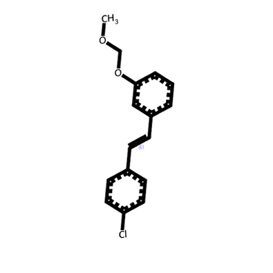 COCOc1cccc(/C=C/c2ccc(Cl)cc2)c1